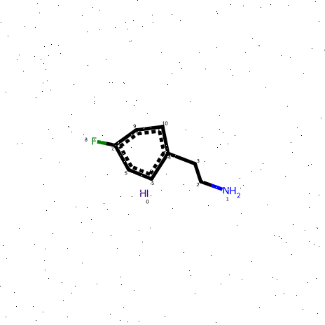 I.NCCc1ccc(F)cc1